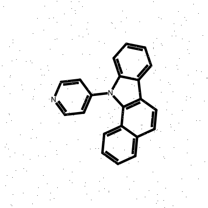 c1ccc2c(c1)ccc1c3ccccc3n(-c3ccncc3)c21